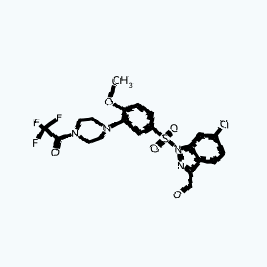 COc1ccc(S(=O)(=O)n2nc(C=O)c3ccc(Cl)cc32)cc1N1CCN(C(=O)C(F)(F)F)CC1